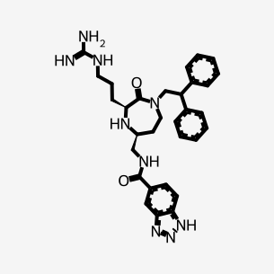 N=C(N)NCCC[C@@H]1N[C@H](CNC(=O)c2ccc3[nH]nnc3c2)CCN(CC(c2ccccc2)c2ccccc2)C1=O